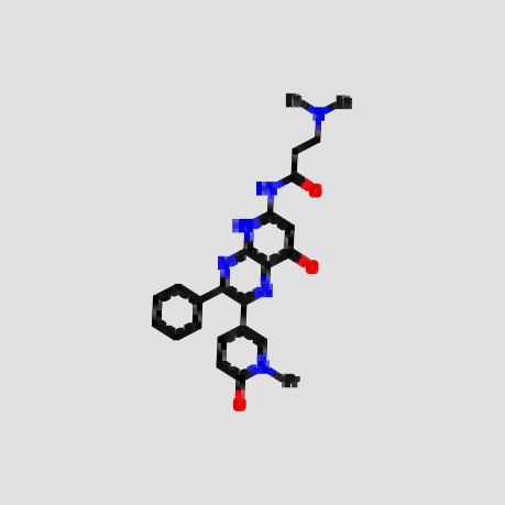 CCN(CC)CCC(=O)Nc1cc(=O)c2nc(-c3ccc(=O)n(C(C)C)c3)c(-c3ccccc3)nc2[nH]1